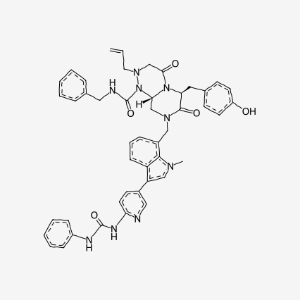 C=CCN1CC(=O)N2[C@@H](Cc3ccc(O)cc3)C(=O)N(Cc3cccc4c(-c5ccc(NC(=O)Nc6ccccc6)nc5)cn(C)c34)C[C@@H]2N1C(=O)NCc1ccccc1